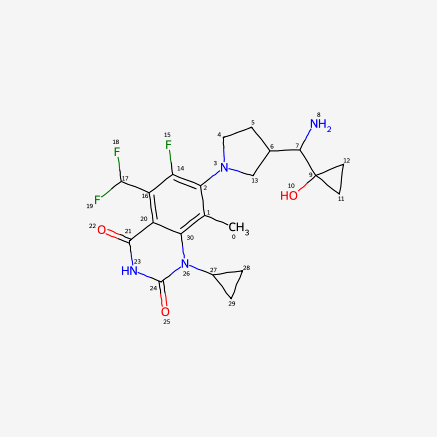 Cc1c(N2CCC(C(N)C3(O)CC3)C2)c(F)c(C(F)F)c2c(=O)[nH]c(=O)n(C3CC3)c12